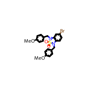 COc1ccc(CN2c3ccc(Br)cc3N(Cc3ccc(OC)cc3)S2(=O)=O)cc1